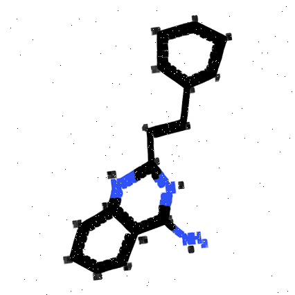 Nc1nc(C=Cc2ccccc2)nc2ccccc12